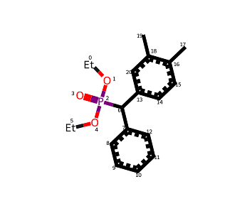 CCOP(=O)(OCC)C(c1ccccc1)c1ccc(C)c(C)c1